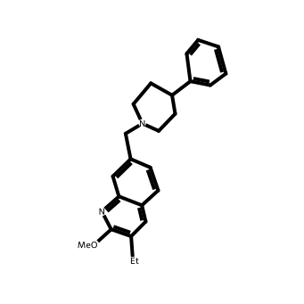 CCc1cc2ccc(CN3CCC(c4ccccc4)CC3)cc2nc1OC